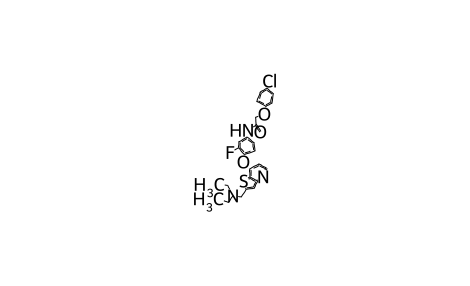 CCN(CC)Cc1cc2nccc(Oc3ccc(NC(=O)COc4ccc(Cl)cc4)cc3F)c2s1